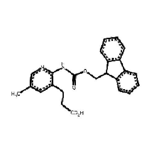 Cc1cnc(NC(=O)OCC2c3ccccc3-c3ccccc32)c(CCC(=O)O)c1